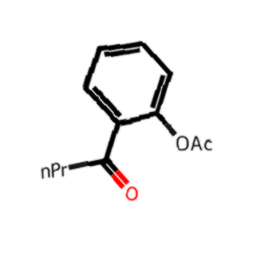 CCCC(=O)c1ccccc1OC(C)=O